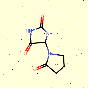 O=C1NC(=O)C(N2CCCC2=O)N1